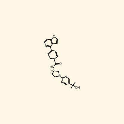 CC(C)(O)c1cnc(N2CC[C@H](NC(=O)c3ccc(-c4nccc5occc45)cc3)C2)nc1